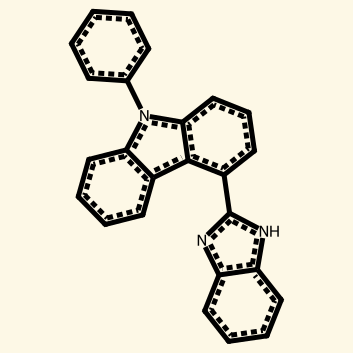 c1ccc(-n2c3ccccc3c3c(-c4nc5ccccc5[nH]4)cccc32)cc1